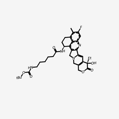 CC[C@@]1(O)C(=O)OCC2=C1C=C1c3nc4cc(F)c(C)c5c4c(c3CN1C2)[C@@H](NC(=O)CCCCCNC(=O)OC(C)(C)C)CC5